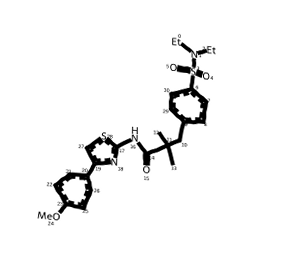 CCN(CC)S(=O)(=O)c1ccc(CC(C)(C)C(=O)Nc2nc(-c3ccc(OC)cc3)cs2)cc1